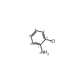 Nc1nc[c]cc1Cl